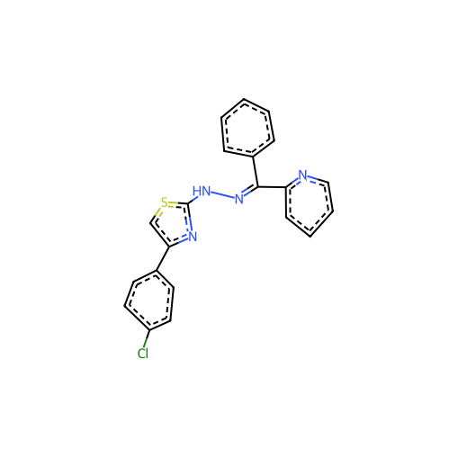 Clc1ccc(-c2csc(N/N=C(\c3ccccc3)c3ccccn3)n2)cc1